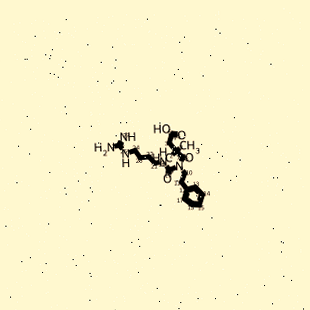 CC(C)(CC(=O)O)C(=O)N(CCc1ccccc1)C(=O)NCCCCNC(=N)N